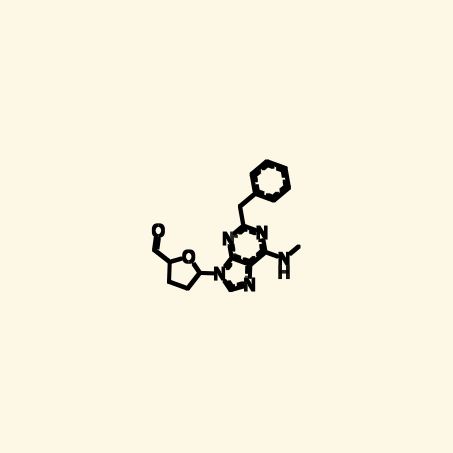 CNc1nc(Cc2ccccc2)nc2c1ncn2C1CCC(C=O)O1